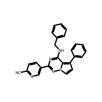 N#Cc1ccc(-c2nc(NCc3ccccc3)c3c(-c4ccccc4)ccn3n2)cn1